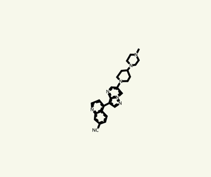 CN1CCN(C2CCN(c3cnc4c(-c5ccnc6cc(C#N)ccc56)cnn4c3)CC2)CC1